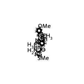 COc1ccc(CN(c2nn(C)c3c(NC(=O)c4sc(SC)nc4N)ccc(Cl)c23)S(C)(=O)=O)cc1